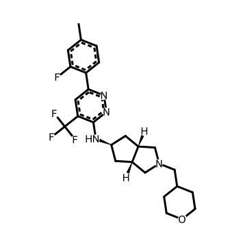 Cc1ccc(-c2cc(C(F)(F)F)c(N[C@H]3C[C@@H]4CN(CC5CCOCC5)C[C@@H]4C3)nn2)c(F)c1